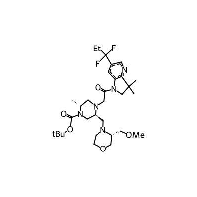 CCC(F)(F)c1cnc2c(c1)N(C(=O)CN1C[C@@H](C)N(C(=O)OC(C)(C)C)C[C@@H]1CN1CCOC[C@H]1COC)CC2(C)C